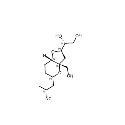 [C-]#[N+][C@H](C)C[C@H]1CC[C@@H]2O[C@@H]([C@H](O)CO)C[C@]2(CO)O1